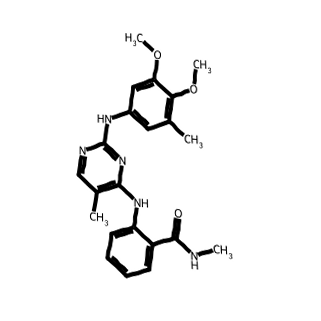 CNC(=O)c1ccccc1Nc1nc(Nc2cc(C)c(OC)c(OC)c2)ncc1C